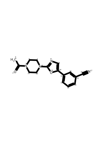 CC(=O)N1CCN(c2ncc(-c3cccc(C#N)c3)o2)CC1